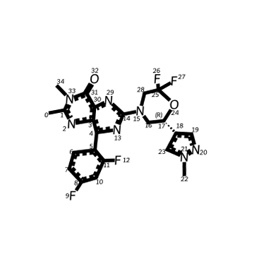 Cc1nc2c(-c3ccc(F)cc3F)nc(N3C[C@@H](c4cnn(C)c4)OC(F)(F)C3)nc2c(=O)n1C